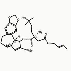 C/C=C/COC(=O)C[C@](O)(CCC(C)(C)O)C(=O)OC1C(OC)=CC23CCCN2CCc2cc4c(cc2[C@H]13)OCO4